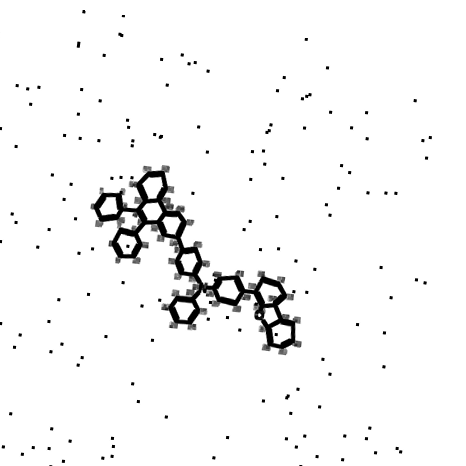 c1ccc(-c2c(-c3ccccc3)c3cc(-c4ccc(N(c5ccccc5)c5ccc(-c6cccc7c6oc6ccccc67)cc5)cc4)ccc3c3ccccc23)cc1